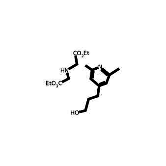 CCOC(=O)CNCC(=O)OCC.Cc1cc(CCCO)cc(C)n1